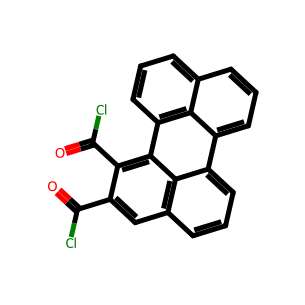 O=C(Cl)c1cc2cccc3c4cccc5cccc(c(c1C(=O)Cl)c23)c54